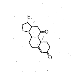 CC[C@H]1CCC2C3CCC4=CC(=O)CC[C@]4(C)C3C(=O)C[C@@]21C